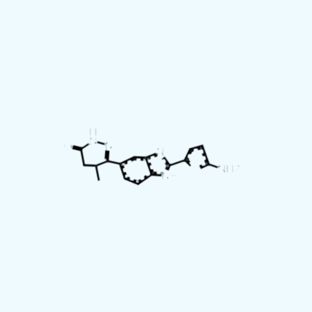 CC(=O)Nc1ccc(-c2nc3cc(C4=NNC(=O)CC4C)ccc3[nH]2)o1